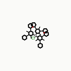 Cc1c(-c2ccccc2)cc([Si](Cl)(c2cc(-c3ccccc3)c(C)c(-c3ccccc3)c2C)c2cc(-c3ccccc3)c(C)c(-c3ccccc3)c2C)c(C)c1-c1ccccc1